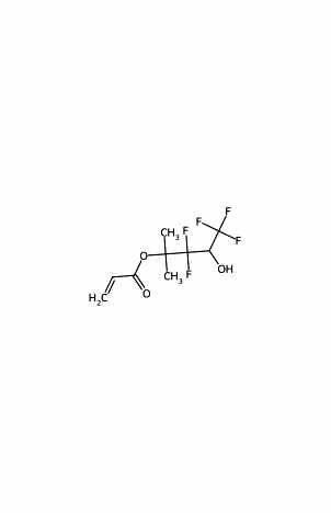 C=CC(=O)OC(C)(C)C(F)(F)C(O)C(F)(F)F